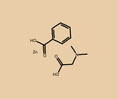 CN(C)CC(=O)O.O=C(O)c1ccccc1.[Zn]